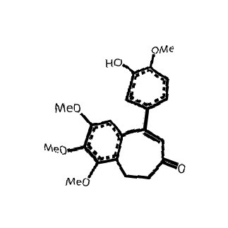 COc1ccc(C2=CC(=O)CCc3c2cc(OC)c(OC)c3OC)cc1O